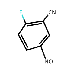 N#Cc1cc(N=O)ccc1F